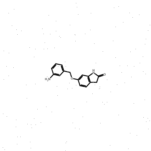 Nc1cccc(COc2ccc3c(c2)NC(=O)C3)c1